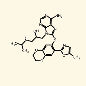 Cc1cnc(-c2cc3c(cc2Sc2nc4c(N)ncnc4n2CC(O)CNC(C)C)OCCO3)o1